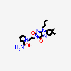 CCCCn1c2nc(=O)n(CCC[n+]3ccccc3C(N)O)c(=O)c-2nc2cc(C)c(C)cc21